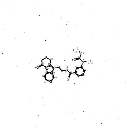 COC(=O)N(C)c1cccc(C(=O)NCCc2c3n(c4ccccc24)C(=O)CCC3)c1